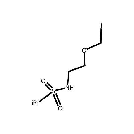 CC(C)S(=O)(=O)NCCOCI